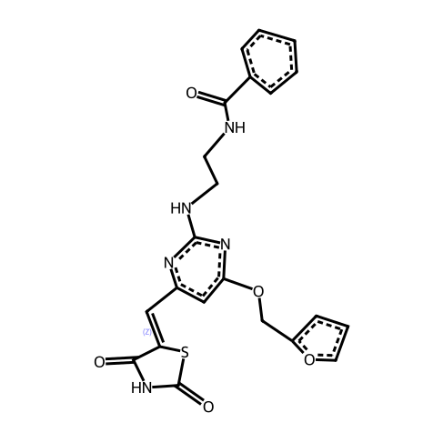 O=C1NC(=O)/C(=C/c2cc(OCc3ccco3)nc(NCCNC(=O)c3ccccc3)n2)S1